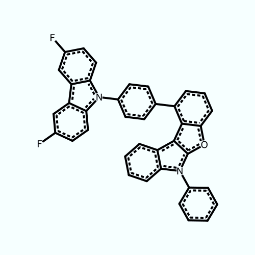 Fc1ccc2c(c1)c1cc(F)ccc1n2-c1ccc(-c2cccc3oc4c(c5ccccc5n4-c4ccccc4)c23)cc1